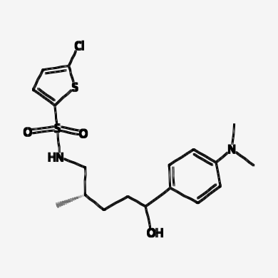 C[C@@H](CCC(O)c1ccc(N(C)C)cc1)CNS(=O)(=O)c1ccc(Cl)s1